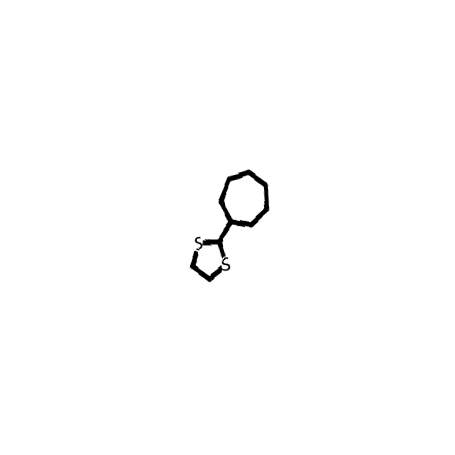 C1CCCC(C2SCCS2)CC1